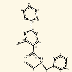 O=C[C@H](Cc1ccccc1)NC(=O)c1ccc(-c2ccncc2)cc1F